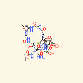 CC[C@H](C)[C@@H]1NC(=O)CNC(=O)C2Cc3c(n(CCCCNC(=O)OC(C)(C)C)c4cc(OC)ccc34)[S@+]([O-])CC(NC(=O)CNC1=O)C(=O)N[C@@H](CC(N)=O)C(=O)N1C[C@H](O)C[C@]1(C=O)N[C@@H]([C@@H](C)[C@@H](O)CO)C(=O)N2